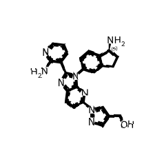 Nc1ncccc1-c1nc2ccc(-n3cc(CO)cn3)nc2n1-c1ccc2c(c1)CC[C@@H]2N